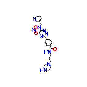 Cn1oc2nc(-c3ccc(C(=O)NCCCN4CCNCC4)cc3)nnc2n(Cc2cccnc2)o1